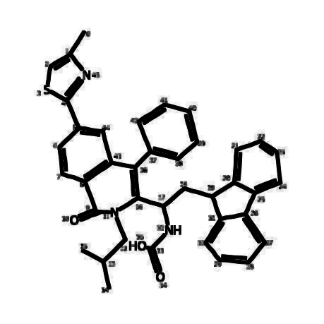 Cc1csc(-c2ccc3c(=O)n(CC(C)C)c(C(CC4c5ccccc5-c5ccccc54)NC(=O)O)c(-c4ccccc4)c3c2)n1